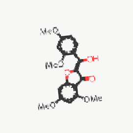 COc1ccc(/C(O)=C2\Oc3cc(OC)cc(OC)c3C2=O)c(OC)c1